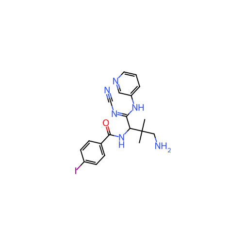 CC(C)(CN)C(NC(=O)c1ccc(I)cc1)C(=NC#N)Nc1cccnc1